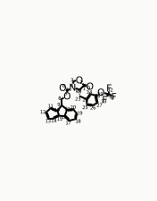 O=C1OCN(C(=O)OCC2c3ccccc3-c3ccccc32)[C@H]1Cc1cccc(OC(F)(F)F)c1